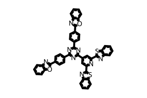 c1ccc2oc(-c3ccc(-c4nc(-c5ccc(-c6nc7ccccc7o6)cc5)nc(-c5cc(-c6nc7ccccc7s6)nc(-c6nc7ccccc7s6)c5)n4)cc3)nc2c1